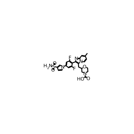 Cc1ccn2c(CC3CN(C(=O)O)CCO3)c(-c3c(F)cc(-n4ccc(S(N)(=O)=O)c4)cc3F)nc2c1